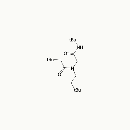 CC(C)(C)CCN(CC(=O)NC(C)(C)C)C(=O)CC(C)(C)C